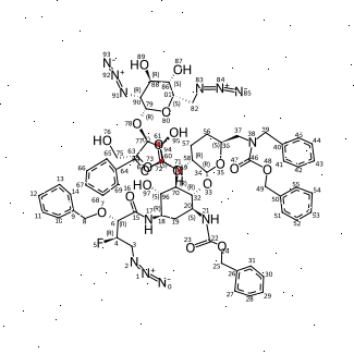 [N-]=[N+]=NC[C@@H](F)[C@H](OCc1ccccc1)C(=O)N[C@@H]1C[C@H](NC(=O)OCc2ccccc2)[C@@H](O[C@H]2O[C@H](CN(Cc3ccccc3)C(=O)OCc3ccccc3)CC[C@H]2NC(=O)OCc2ccccc2)[C@H](O[C@@H]2O[C@H](CO)[C@@H](O[C@H]3O[C@@H](CN=[N+]=[N-])[C@@H](O)[C@H](O)[C@H]3N=[N+]=[N-])[C@H]2O)[C@H]1O